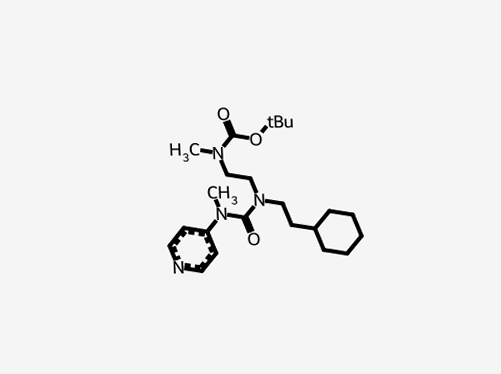 CN(CCN(CCC1CCCCC1)C(=O)N(C)c1ccncc1)C(=O)OC(C)(C)C